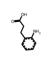 Nc1ccccc1CCC(=O)O